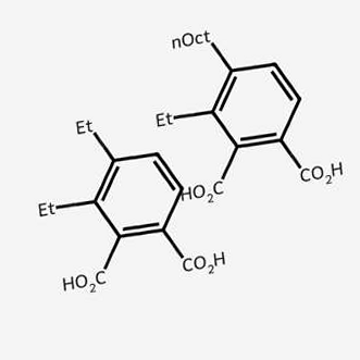 CCCCCCCCc1ccc(C(=O)O)c(C(=O)O)c1CC.CCc1ccc(C(=O)O)c(C(=O)O)c1CC